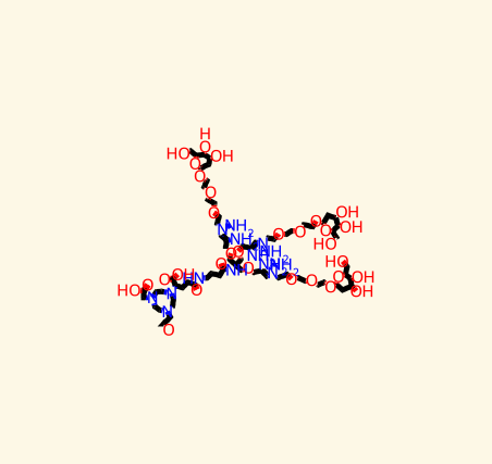 N/C(=C\N(N)CCOCCOCCOC1CC(O)C(O)C(CO)O1)COCC(COC/C(N)=C/N(N)CCOCCOCCOC1CC(O)C(O)C(CO)O1)(COC/C(N)=C/N(N)CCOCCOCCOC1CC(O)C(O)C(CO)O1)NC(=O)CCCNC(=O)CCC(C(=O)O)N1CCN(CC=O)CCN(CC(=O)O)CC1